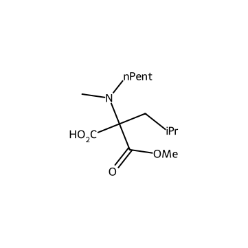 CCCCCN(C)C(CC(C)C)(C(=O)O)C(=O)OC